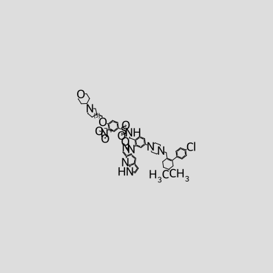 CC1(C)CCC(CN2CCN(c3ccc(C(=O)NS(=O)(=O)c4ccc(OC[C@H]5CCN(C6CCOCC6)C5)c([N+](=O)[O-])c4)c(-n4ncc5nc6[nH]ccc6cc54)c3)CC2)=C(c2ccc(Cl)cc2)C1